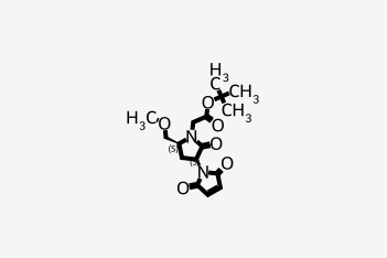 COC[C@@H]1C[C@H](N2C(=O)C=CC2=O)C(=O)N1CC(=O)OC(C)(C)C